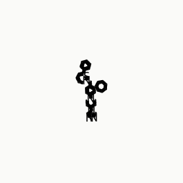 C1=CCN(Cc2ccc(N3CCC(n4cnnc4)CC3)cc2)SC(c2ccccc2)=C1.C1CCCCCC1